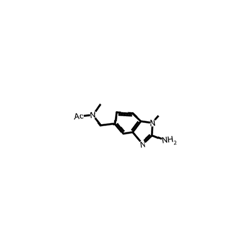 CC(=O)N(C)Cc1ccc2c(c1)nc(N)n2C